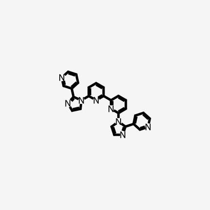 c1cncc(-c2nccn2-c2cccc(-c3cccc(-n4ccnc4-c4cccnc4)n3)n2)c1